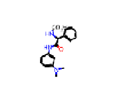 CN(C)c1cccc(NC(=O)C(NC(=O)O)c2ccccc2)c1